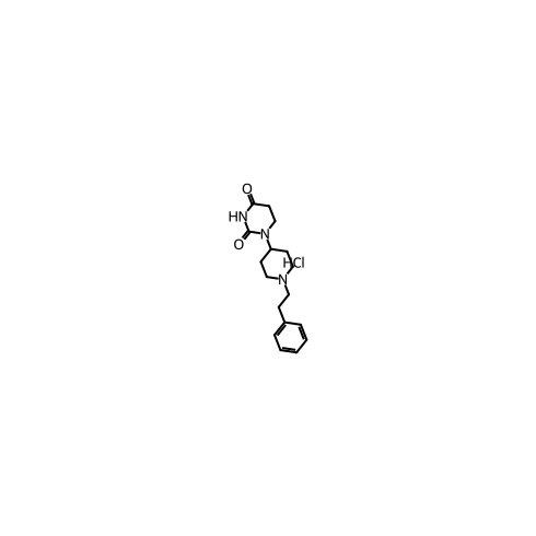 Cl.O=C1CCN(C2CCN(CCc3ccccc3)CC2)C(=O)N1